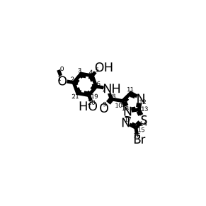 COc1cc(O)c(NC(=O)c2cnc3sc(Br)nn23)c(O)c1